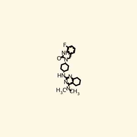 CN(C)c1nc(N[C@H]2CC[C@@H](N(Cc3cccc(F)c3)C(N)=O)CC2)nc2c1CCCC2